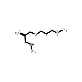 C=C(CNC)COCCCNC